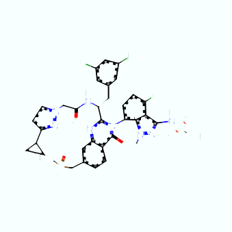 Cn1nc(NS(C)(=O)=O)c2c(Cl)ccc(-n3c([C@H](Cc4cc(F)cc(F)c4)NC(=O)Cn4ccc(C5CC5)n4)nc4cc(CS(C)(=O)=O)ccc4c3=O)c21